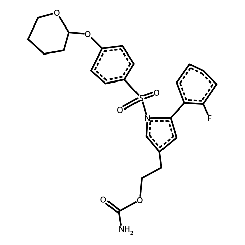 NC(=O)OCCc1cc(-c2ccccc2F)n(S(=O)(=O)c2ccc(OC3CCCCO3)cc2)c1